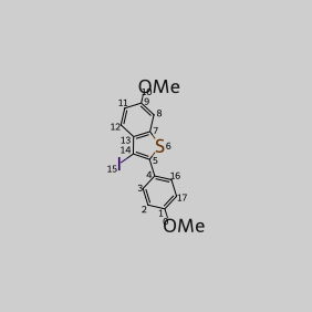 COc1ccc(-c2sc3cc(OC)ccc3c2I)cc1